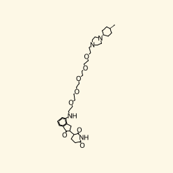 C[C@H]1CC[C@H](N2CCN(CCOCCOCCOCCOCCOCCNc3cccc4c3CC(C3CCC(=O)NC3=O)C4=O)CC2)CC1